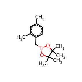 Cc1ccc(CB2OC(C)(C)C(C)(C)O2)c(C)c1